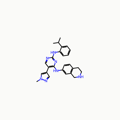 CC(C)c1ccccc1Nc1ncc(-c2cnn(C)c2)c(Nc2ccc3c(c2)CNCC3)n1